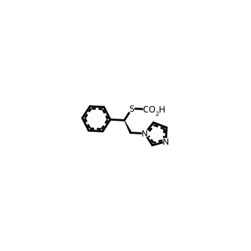 O=C(O)S[C@@H](Cn1ccnc1)c1ccccc1